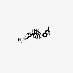 COCc1cc(C(C)(C)NC(=O)C(Oc2ccc3ncc(I)cc3c2)SC)no1